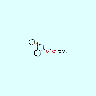 COCOCOc1ccc([SH]2CCCC2)c2ccccc12